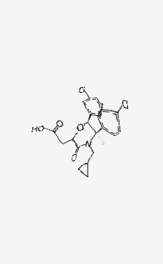 C[C@@]1(c2ccc(Cl)cc2)[C@H](c2cccc(Cl)c2)OC(CC(=O)O)C(=O)N1CC1CC1